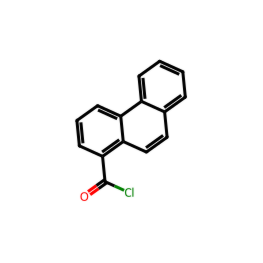 O=C(Cl)c1cccc2c1ccc1ccccc12